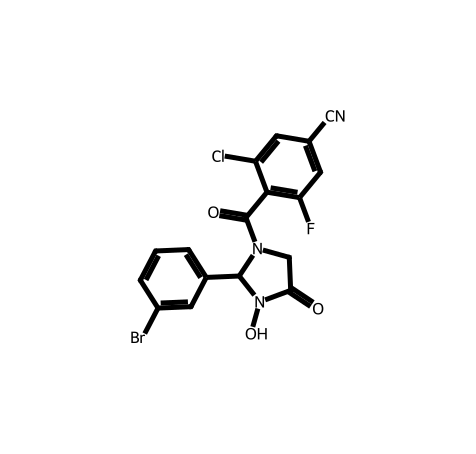 N#Cc1cc(F)c(C(=O)N2CC(=O)N(O)C2c2cccc(Br)c2)c(Cl)c1